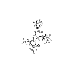 CC(C)(C)OC(=O)N[C@H](Cc1ccc(B2OC(C)(C)C(C)(C)O2)cc1B1OC(C)(C)C(C)(C)O1)C(=O)OC(C)(C)C